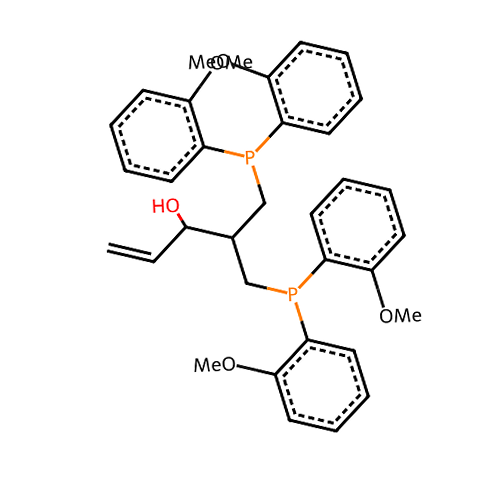 C=CC(O)C(CP(c1ccccc1OC)c1ccccc1OC)CP(c1ccccc1OC)c1ccccc1OC